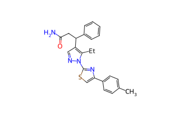 CCc1c(C(CC(N)=O)c2ccccc2)cnn1-c1nc(-c2ccc(C)cc2)cs1